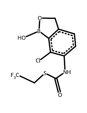 O=C(Nc1ccc2c(c1Cl)B(O)OC2)SCC(F)(F)F